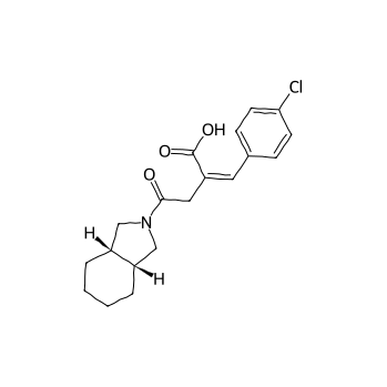 O=C(O)C(=Cc1ccc(Cl)cc1)CC(=O)N1C[C@H]2CCCC[C@H]2C1